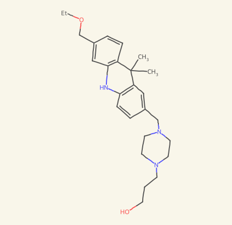 CCOCc1ccc2c(c1)Nc1ccc(CN3CCN(CCCO)CC3)cc1C2(C)C